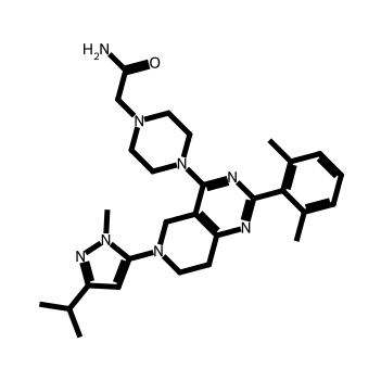 Cc1cccc(C)c1-c1nc2c(c(N3CCN(CC(N)=O)CC3)n1)CN(c1cc(C(C)C)nn1C)CC2